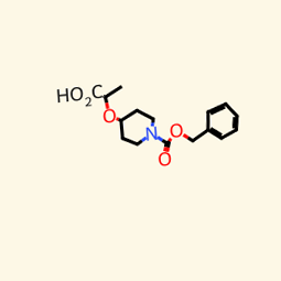 CC(OC1CCN(C(=O)OCc2ccccc2)CC1)C(=O)O